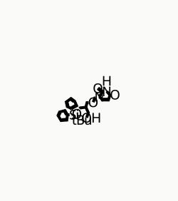 CC(C)(C)[Si](OCC(CO)COCn1ccc(=O)[nH]c1=O)(c1ccccc1)c1ccccc1